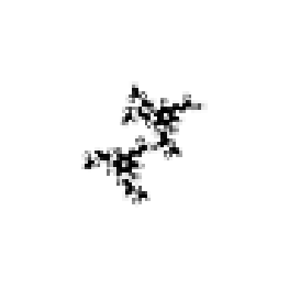 CC(=O)OC(C)C(=O)Nc1c(I)c(CCC(=O)O)c(I)c(NC(=O)C(C)OC(C)=O)c1I.CC(=O)OCCN(C(=O)C(C)OC(C)=O)c1c(I)c(CCC(=O)O)c(I)c(NC(=O)C(C)OC(C)=O)c1I